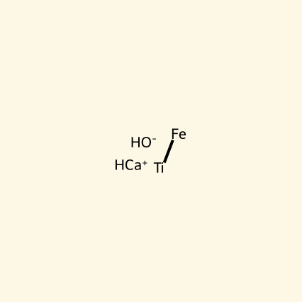 [CaH+].[OH-].[Ti][Fe]